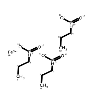 CCC[PH](=O)[O-].CCC[PH](=O)[O-].CCC[PH](=O)[O-].[Fe+3]